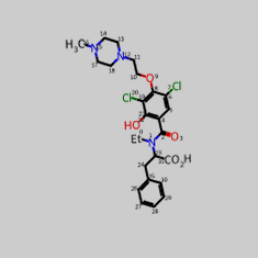 CCN(C(=O)c1cc(Cl)c(OCCN2CCN(C)CC2)c(Cl)c1O)C(Cc1ccccc1)C(=O)O